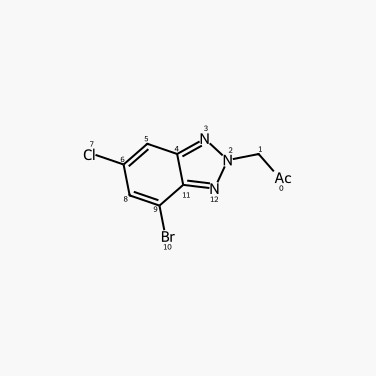 CC(=O)Cn1nc2cc(Cl)cc(Br)c2n1